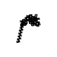 CCCCCCCCCCCCOC(=O)C(C)OC(=O)c1ccc(Cl)c(NC(=O)C(C(=O)c2ccccc2)n2cc(C)n(C)c2=O)c1